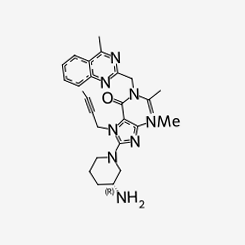 C=C(C)N(Cc1nc(C)c2ccccc2n1)C(=O)c1c(NC)nc(N2CCC[C@@H](N)C2)n1CC#CC